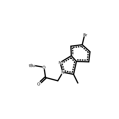 Cc1c2ccc(Br)cc2nn1CC(=O)OC(C)(C)C